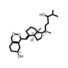 CC(C)C(O)CC[C@@H](C)[C@H]1CC[C@H]2C(=CC3OOCC4=C3C[C@@H](O)CC4)CCC[C@]12C